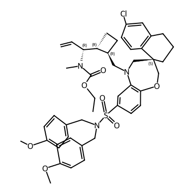 C=C[C@H]([C@@H]1CC[C@H]1CN1C[C@@]2(CCCc3cc(Cl)ccc32)COc2ccc(S(=O)(=O)N(Cc3ccc(OC)cc3)Cc3ccc(OC)cc3)cc21)N(C)C(=O)OCC